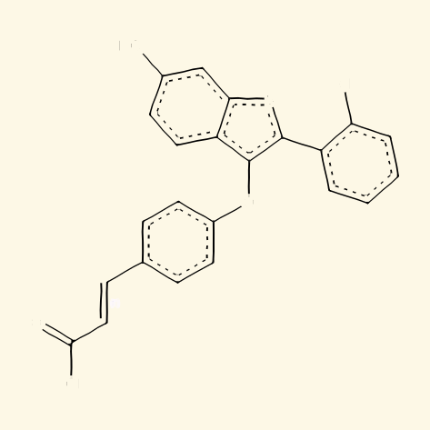 O=C(O)/C=C/c1ccc(Oc2c(-c3ccccc3Cl)sc3cc(O)ccc23)cc1